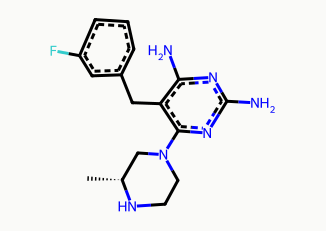 C[C@@H]1CN(c2nc(N)nc(N)c2Cc2cccc(F)c2)CCN1